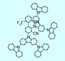 N#Cc1cccc(C(F)(F)F)c1-c1ccc(-n2c3ccc(-n4c5ccccc5c5ccccc54)cc3c3cc(-n4c5ccccc5c5ccccc54)ccc32)c(C#N)c1-n1c2ccc(-n3c4ccccc4c4ccccc43)cc2c2cc(-n3c4ccccc4c4ccccc43)ccc21